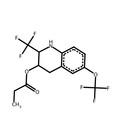 CCC(=O)OC1Cc2cc(OC(F)(F)F)ccc2NC1C(F)(F)F